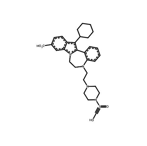 O=C(O)c1ccc2c(C3CCCCC3)c3n(c2c1)CCN(CCN1CCN(S(=O)#CO)CC1)c1ccccc1-3